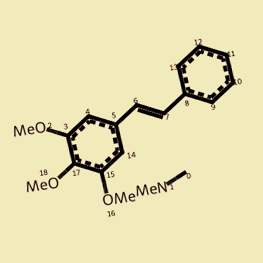 CNC.COc1cc(C=Cc2ccccc2)cc(OC)c1OC